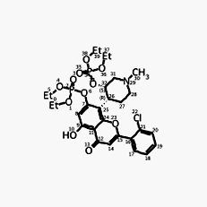 CCOP(=O)(OCC)Oc1cc(O)c2c(=O)cc(-c3ccccc3Cl)oc2c1[C@H]1CCN(C)C[C@H]1OP(=O)(OCC)OCC